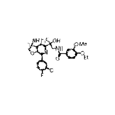 CCOc1ccc(C(=O)NC[C@@](O)(c2cc3c(c(-c4ccc(F)c(Cl)c4)n2)OC[C@@]3(C)N)C(F)(F)F)cc1OC